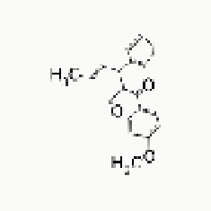 CC=CC(c1ccccc1)C(C=O)C(=O)c1ccc(OC)cc1